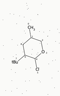 CC1COC(Cl)C(C(C)(C)C)C1